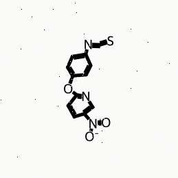 O=[N+]([O-])c1ccc(Oc2ccc(N=C=S)cc2)nc1